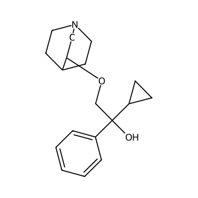 OC(COC1CN2CCC1CC2)(c1ccccc1)C1CC1